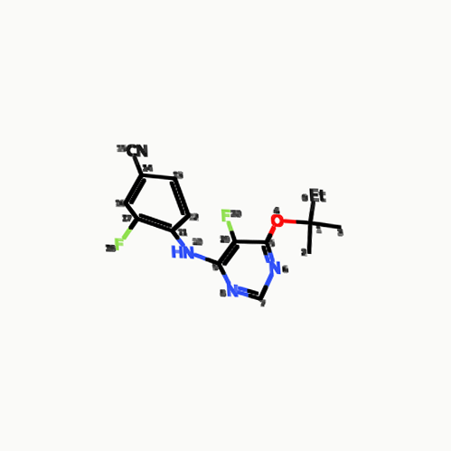 CCC(C)(C)Oc1ncnc(Nc2ccc(C#N)cc2F)c1F